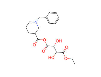 CCOC(=O)C(O)C(O)C(=O)OC(=O)C1CCCN(Cc2ccccc2)C1